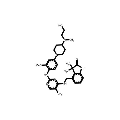 COc1cc(N2CCC(N(C)CCO)CC2)ccc1Nc1ncc(C(F)(F)F)c(NCc2cccc3c2C(C)(C)C(=O)N3)n1